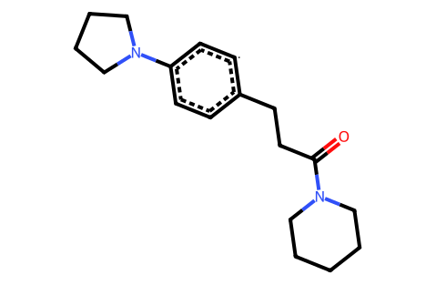 O=C(CCc1[c]cc(N2CCCC2)cc1)N1CCCCC1